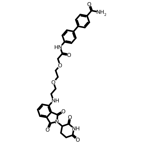 NC(=O)c1ccc(-c2ccc(NC(=O)COCCOCCNc3cccc4c3C(=O)N(C3CCC(=O)NC3=O)C4=O)cc2)cc1